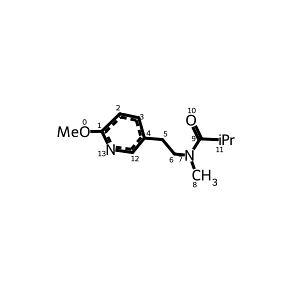 COc1ccc(CCN(C)C(=O)C(C)C)cn1